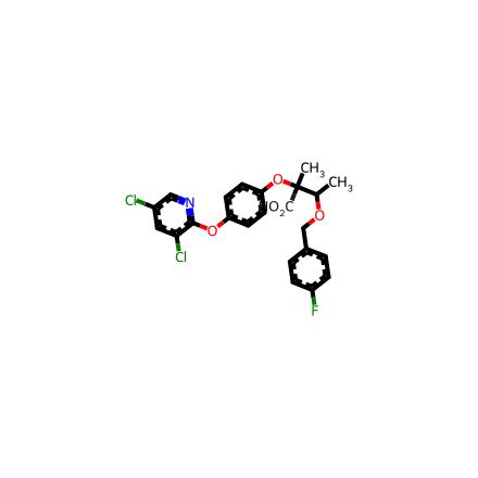 CC(OCc1ccc(F)cc1)C(C)(Oc1ccc(Oc2ncc(Cl)cc2Cl)cc1)C(=O)O